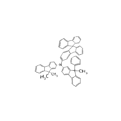 CC1(C)c2ccccc2-c2ccc(N(c3ccc4c(c3)-c3ccccc3C43c4ccccc4-c4ccccc43)c3ccc4c(c3)C(C)(c3ccccc3)c3ccccc3-4)cc21